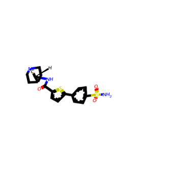 NS(=O)(=O)c1ccc(-c2ccc(C(=O)N[C@H]3CN4CCC3CC4)s2)cc1